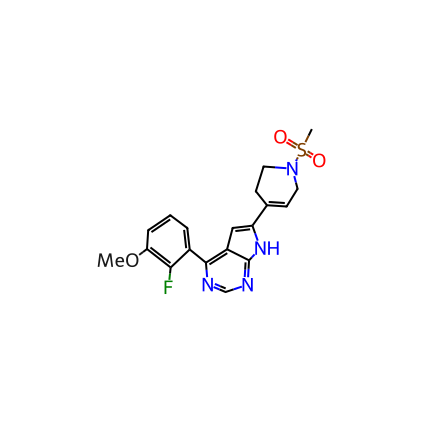 COc1cccc(-c2ncnc3[nH]c(C4=CCN(S(C)(=O)=O)CC4)cc23)c1F